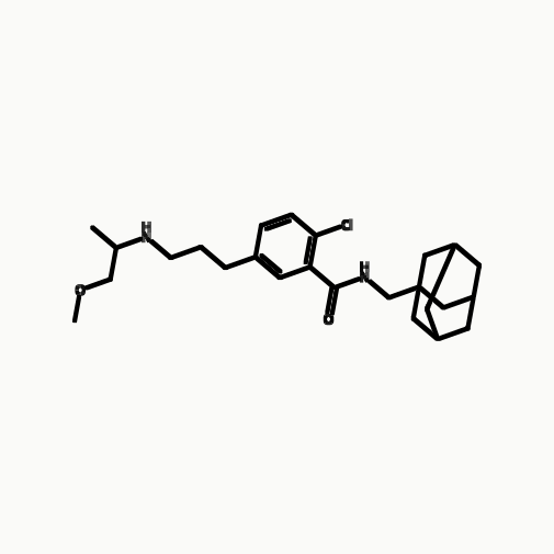 COCC(C)NCCCc1ccc(Cl)c(C(=O)NCC23CC4CC(CC(C4)C2)C3)c1